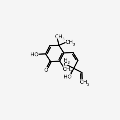 C=CC(C)(O)/C=C\C1=C(C)C(=O)C(O)=CC1(C)C